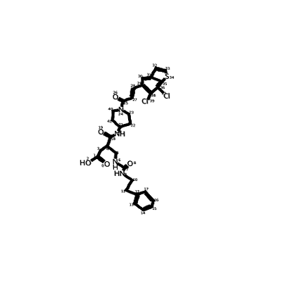 O=C(O)CC(CNC(=O)NCCc1ccccc1)C(=O)NC1CCN(C(=O)/C=C/c2cc3ccsc3c(Cl)c2Cl)CC1